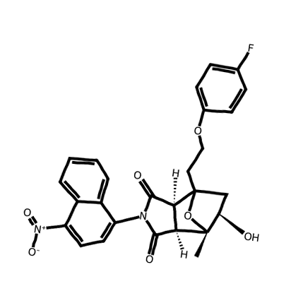 C[C@@]12OC(CCOc3ccc(F)cc3)(C[C@H]1O)[C@@H]1C(=O)N(c3ccc([N+](=O)[O-])c4ccccc34)C(=O)[C@@H]12